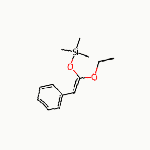 CCO/C(=C/c1ccccc1)O[Si](C)(C)C